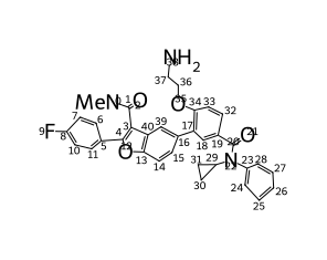 CNC(=O)c1c(-c2ccc(F)cc2)oc2ccc(-c3cc(C(=O)N(c4ccccc4)C4CC4)ccc3OCCN)cc12